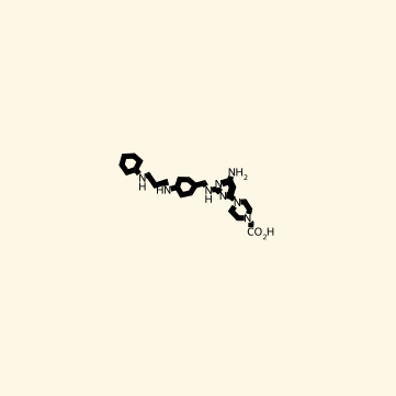 Nc1cc(N2CCN(CC(=O)O)CC2)nc(NCC2CCC(NCCCNC3CCCCC3)CC2)n1